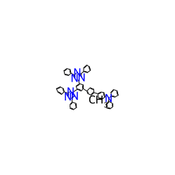 Cc1cc(-c2cc(-c3nc(-c4ccccc4)nc(-c4ccccc4)n3)cc(-c3nc(-c4ccccc4)nc(-c4ccccc4)n3)c2)ccc1-c1ccc(N(c2ccccc2)c2ccccc2)cc1